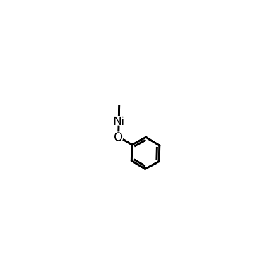 [CH3][Ni][O]c1ccccc1